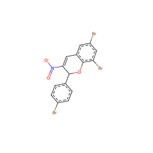 O=[N+]([O-])C1=Cc2cc(Br)cc(Br)c2OC1c1ccc(Br)cc1